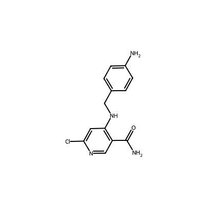 NC(=O)c1cnc(Cl)cc1NCc1ccc(N)cc1